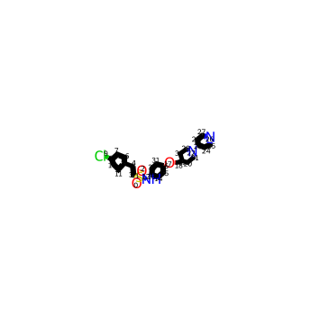 O=S(=O)(C=Cc1ccc(Cl)cc1)Nc1ccc(OCC2CCN(c3ccncc3)CC2)cc1